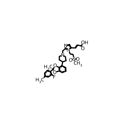 Cc1ccc(C2(C)Oc3cccc(C4CCN(Cc5ncc(/C=C/C(=O)O)n5CCS(C)(=O)=O)CC4)c3O2)c(F)c1